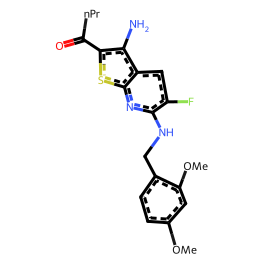 CCCC(=O)c1sc2nc(NCc3ccc(OC)cc3OC)c(F)cc2c1N